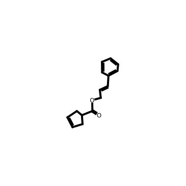 O=C(OCC=Cc1ccccc1)C1CC=CC1